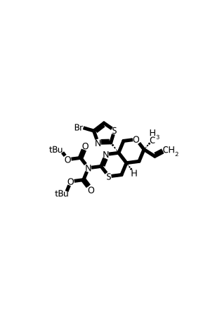 C=C[C@@]1(C)C[C@H]2CSC(N(C(=O)OC(C)(C)C)C(=O)OC(C)(C)C)=N[C@@]2(c2nc(Br)cs2)CO1